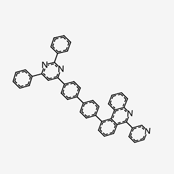 c1ccc(-c2cc(-c3ccc(-c4ccc(-c5cccc6c(-c7cccnc7)nc7ccccc7c56)cc4)cc3)nc(-c3ccccc3)n2)cc1